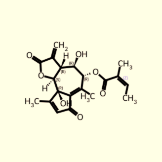 C=C1C(=O)O[C@H]2[C@H]1[C@@H](O)[C@H](OC(=O)/C(C)=C\C)C(C)=C1C(=O)C=C(C)[C@@]12O